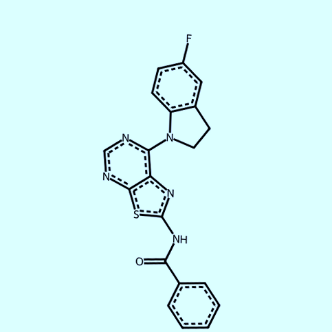 O=C(Nc1nc2c(N3CCc4cc(F)ccc43)ncnc2s1)c1ccccc1